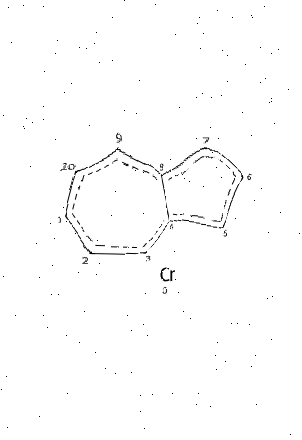 [Cr].c1ccc2cccc-2cc1